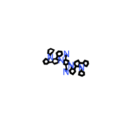 N#Cc1cc(-n2c3ccccc3c3c2ccc2c4ccccc4n(-c4ccccc4)c23)c(C#N)cc1-n1c2c(c3ccccc31)C1C(C=C2)c2ccccc2N1C1=CCCC=C1